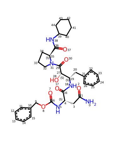 NC(=O)C[C@H](NC(=O)OCc1ccccc1)C(=O)N[C@@H](Cc1ccccc1)[C@H](O)C(=O)N1CCC[C@H]1C(=O)NC1CCCCC1